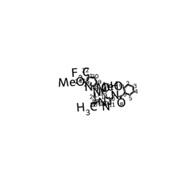 COc1ccccc1C(=O)Nc1cnn2c1C(=O)N(c1ccc(C(F)(F)F)c(OC)n1)C[C@@H]2C